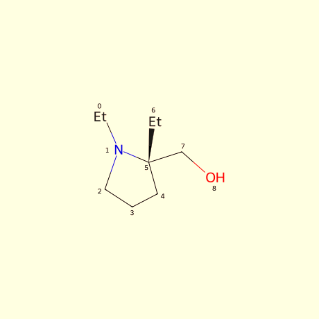 CCN1CCC[C@@]1(CC)CO